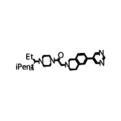 CCC[C@H](C)C(CC)N1CCN(C(=O)CN2CCc3cc(-c4cncnc4)ccc3C2)CC1